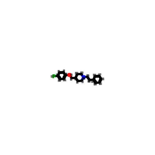 Fc1ccc(OCC2CCN(CCc3ccccc3)CC2)cc1